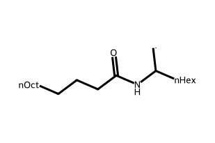 [CH2]C(CCCCCC)NC(=O)CCCCCCCCCCC